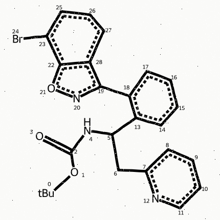 CC(C)(C)OC(=O)NC(Cc1ccccn1)c1ccccc1-c1noc2c(Br)cccc12